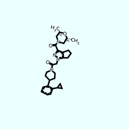 C[C@@H]1CN(C(=O)c2nn(CC(=O)N3CCC(c4ccccc4C4CC4)CC3)c3c2CCC3)C[C@H](C)O1